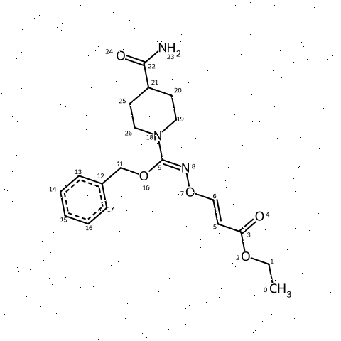 CCOC(=O)/C=C/O/N=C(\OCc1ccccc1)N1CCC(C(N)=O)CC1